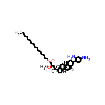 CCCCCCCCCCCCCCCCOC(=O)C(CC(C)[C@H]1CC[C@H]2[C@@H]3CCC4CC(c5ccc(N)cc5N)CC[C@]4(C)[C@H]3CC[C@]12C)OC